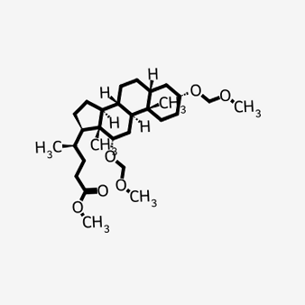 COCO[C@@H]1CC[C@@]2(C)[C@H](CC[C@@H]3[C@@H]2C[C@H](OCOC)[C@]2(C)[C@@H]([C@H](C)CCC(=O)OC)CC[C@@H]32)C1